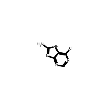 Nc1nc2ncnc(Cl)c2[nH]1